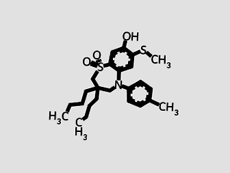 CCCCC1(CCCC)CN(c2ccc(C)cc2)c2cc(SC)c(O)cc2S(=O)(=O)C1